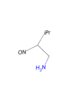 CC(C)C(CN)N=O